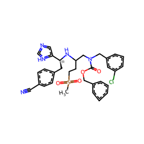 CS(=O)(=O)CCC(CN(Cc1cccc(Cl)c1)C(=O)OCc1ccccc1)N[C@@H](Cc1ccc(C#N)cc1)c1cnc[nH]1